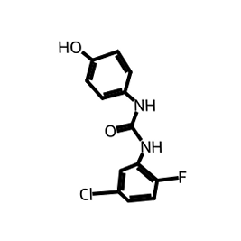 O=C(Nc1ccc(O)cc1)Nc1cc(Cl)ccc1F